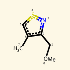 COCc1nscc1C